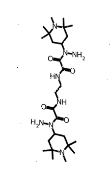 CN1C(C)(C)CC(N(N)C(=O)C(=O)NCCNC(=O)C(=O)N(N)C2CC(C)(C)N(C)C(C)(C)C2)CC1(C)C